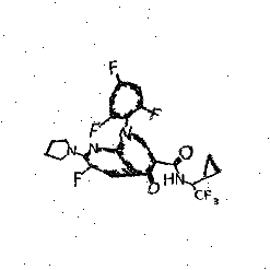 O=C(N[C@@H](C1CC1)C(F)(F)F)c1cn(-c2c(F)cc(F)cc2F)c2nc(N3CCCC3)c(F)cc2c1=O